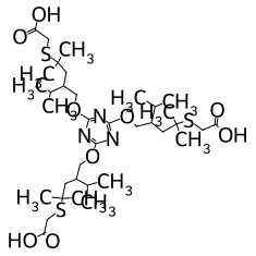 CC(C)C(COc1nc(OCC(CC(C)(C)SCC(=O)O)C(C)C)nc(OCC(CC(C)(C)SCC(=O)O)C(C)C)n1)CC(C)(C)SCC(=O)O